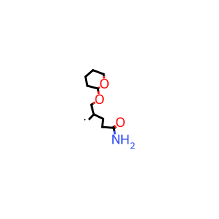 [CH2]C(CCC(N)=O)COC1CCCCO1